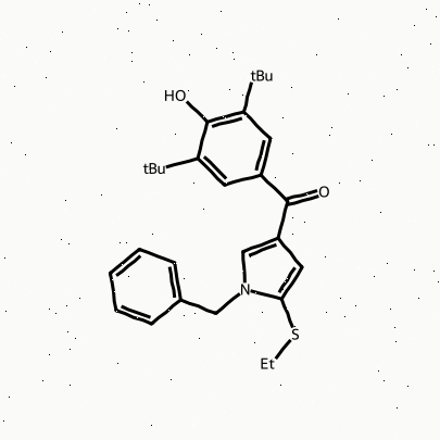 CCSc1cc(C(=O)c2cc(C(C)(C)C)c(O)c(C(C)(C)C)c2)cn1Cc1ccccc1